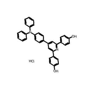 Cl.Oc1ccc(-c2cc(-c3ccc(N(c4ccccc4)c4ccccc4)cc3)cc(-c3ccc(O)cc3)n2)cc1